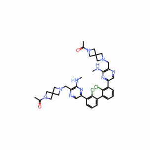 CNc1nc(-c2cccc(-c3cccc(-c4cnc(CN5CC6(C5)CN(C(C)=O)C6)c(NC)n4)c3Cl)c2Cl)cnc1CN1CC2(C1)CN(C(C)=O)C2